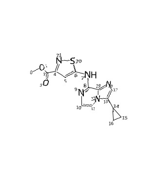 COC(=O)c1cc(Nc2nccn3c(C4CC4)cnc23)sn1